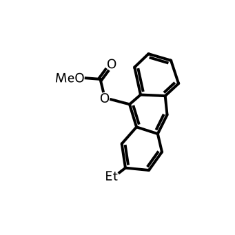 CCc1ccc2cc3ccccc3c(OC(=O)OC)c2c1